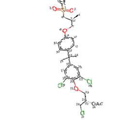 CCS(=O)(=O)C[C@@H](C)COc1ccc(C(C)(C)c2cc(Cl)c(OC[C@@H](CCl)OC(C)=O)c(Cl)c2)cc1